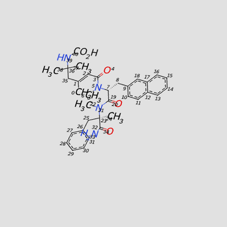 C/C(=C\C(=O)N(C)[C@H](Cc1ccc2ccccc2c1)C(=O)N(C)[C@](C)(Cc1ccccc1)C(N)=O)CC(C)(C)NC(=O)O